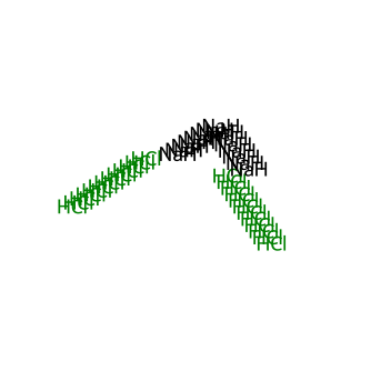 Cl.Cl.Cl.Cl.Cl.Cl.Cl.Cl.Cl.Cl.Cl.Cl.Cl.Cl.Cl.Cl.Cl.Cl.Cl.Cl.Cl.Cl.Cl.Cl.Cl.[NaH].[NaH].[NaH].[NaH].[NaH].[NaH].[NaH].[NaH].[NaH].[NaH].[NaH].[NaH].[NaH].[NaH].[NaH]